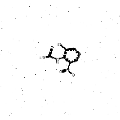 O=C(O)Nc1c(Cl)cccc1[N+](=O)[O-]